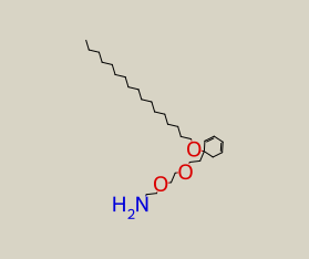 CCCCCCCCCCCCCCCCCOC1(CCOCCOCCN)C=CC=CC1